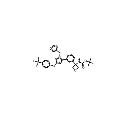 CC(C)(C)OC(=O)NC1(c2cccc(-c3cc(Oc4ccc(C(F)(F)F)cc4)nn3Cc3cocn3)c2)COC1